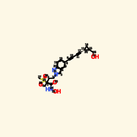 C[C@@](CCn1cc2cc(C#CC#C[C@@H]3C[C@H]3CO)ccc2n1)(C(=O)NO)S(C)(=O)=O